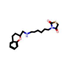 O=C1CSC(=O)N1CCCCCCNCC1CCc2ccccc2O1